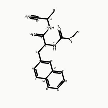 COC(=O)NC(Cc1ccc2ccccc2c1)C(=O)NC(C)C#N